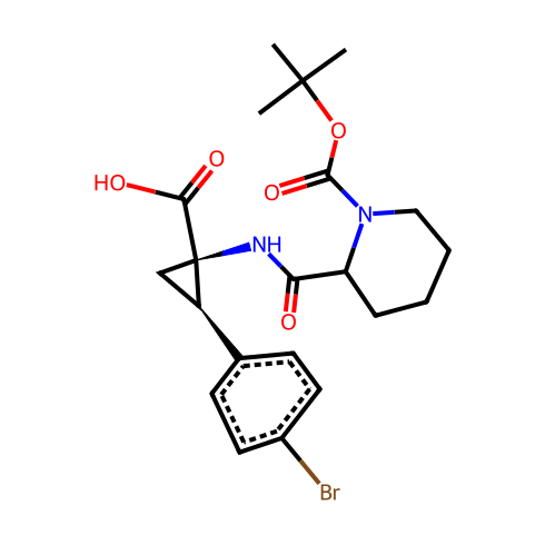 CC(C)(C)OC(=O)N1CCCCC1C(=O)N[C@]1(C(=O)O)C[C@@H]1c1ccc(Br)cc1